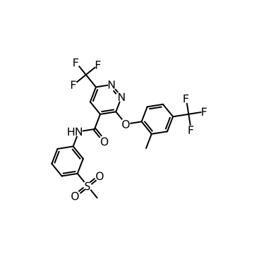 Cc1cc(C(F)(F)F)ccc1Oc1nnc(C(F)(F)F)cc1C(=O)Nc1cccc(S(C)(=O)=O)c1